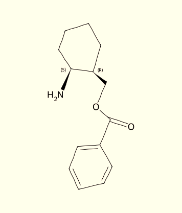 N[C@H]1CCCC[C@H]1COC(=O)c1ccccc1